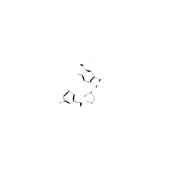 COC(=O)c1cc2c(C)nn(C3CCN(C(=O)c4cc(Cl)cc(Cl)c4)C3)c2cc1F